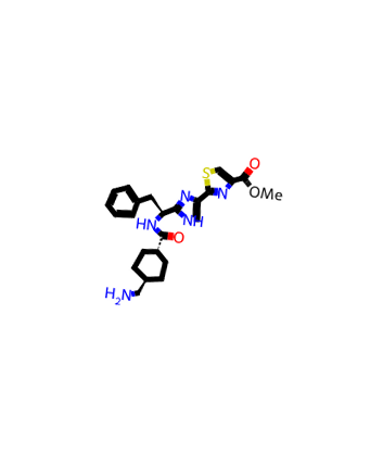 COC(=O)c1csc(-c2c[nH]c([C@H](Cc3ccccc3)NC(=O)[C@H]3CC[C@H](CN)CC3)n2)n1